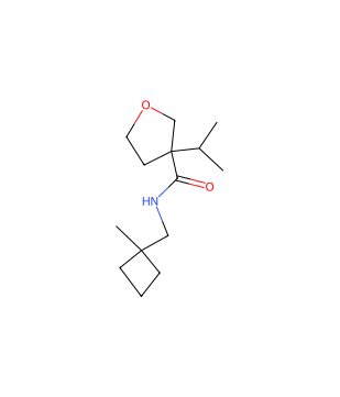 CC(C)C1(C(=O)NCC2(C)CCC2)CCOC1